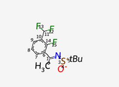 CC(=N[S@@+]([O-])C(C)(C)C)c1cccc(C(F)F)c1F